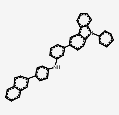 c1ccc(-n2c3ccccc3c3cc(-c4cccc(Nc5ccc(-c6ccc7ccccc7c6)cc5)c4)ccc32)cc1